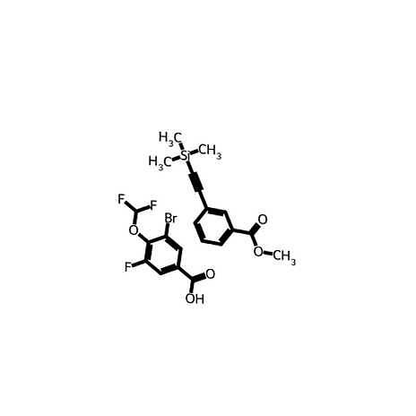 COC(=O)c1cccc(C#C[Si](C)(C)C)c1.O=C(O)c1cc(F)c(OC(F)F)c(Br)c1